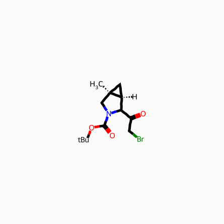 CC(C)(C)OC(=O)N1C[C@@]2(C)C[C@H]2C1C(=O)CBr